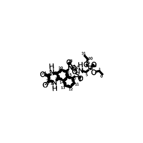 CCOP(=O)(CNS(=O)(=O)c1cccc2c1c([N+](=O)[O-])cc1[nH]c(=O)c(=O)[nH]c12)OCC